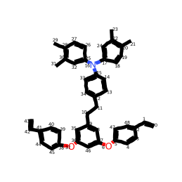 C=Cc1ccc(Oc2cc(CCc3ccc(N(c4ccc(C)c(C)c4)c4ccc(C)c(C)c4)cc3)cc(Oc3ccc(C=C)cc3)c2)cc1